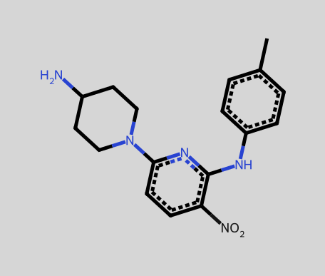 Cc1ccc(Nc2nc(N3CCC(N)CC3)ccc2[N+](=O)[O-])cc1